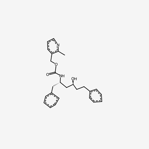 Cc1ncccc1COC(=O)N[C@@H](Cc1ccccc1)C[C@@H](O)CCc1ccccc1